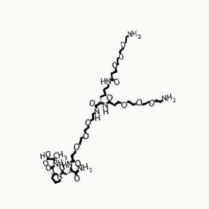 C[C@H](NC(=O)[C@@H]1CCCN1C(=O)C[C@H](NC(=O)CCOCCOCCOCCNC(=O)[C@H](CCCCNC(=O)CCOCCOCCOCCN)NC(=O)CCOCCOCCOCCN)C(N)=O)C(=O)O